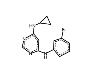 Brc1cccc(Nc2cc(NC3CC3)ncn2)c1